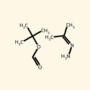 CC(C)(C)OC=O.CC(C)=NN